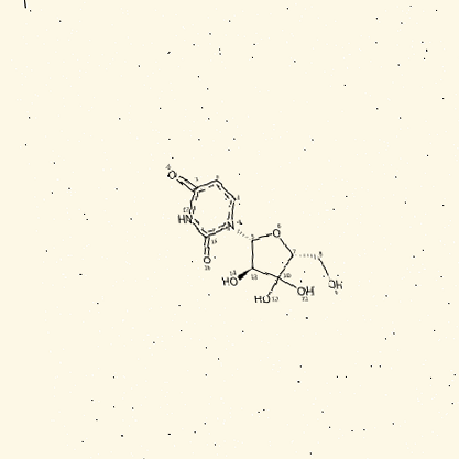 O=c1ccn([C@@H]2O[C@H](CO)C(O)(O)[C@H]2O)c(=O)[nH]1